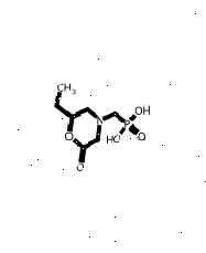 CCC1CN(CP(=O)(O)O)CC(=O)O1